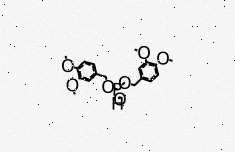 COc1ccc(CO[PH](=O)OCc2ccc(OC)c(OC)c2)cc1OC